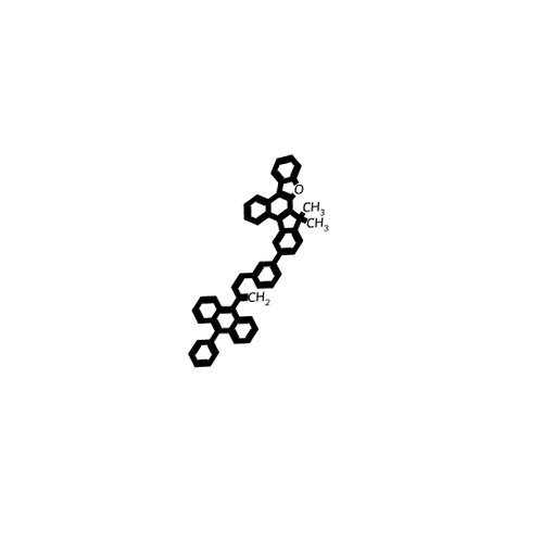 C=C(/C=C\c1cccc(-c2ccc3c(c2)-c2c(c4oc5ccccc5c4c4ccccc24)C3(C)C)c1)c1c2ccccc2c(-c2ccccc2)c2ccccc12